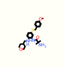 COc1ccc(CSc2ccc(NCC3CCOCC3)c(NC(=O)C(C)(C)N)c2)cc1